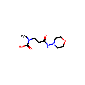 CN(CCC(=O)NN1CCOCC1)C(=O)O